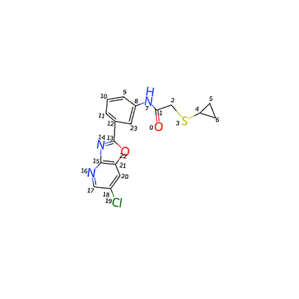 O=C(CSC1CC1)Nc1cccc(-c2nc3ncc(Cl)cc3o2)c1